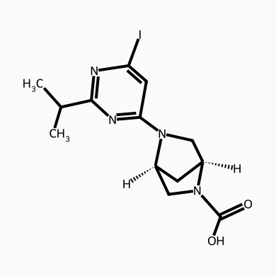 CC(C)c1nc(I)cc(N2C[C@@H]3C[C@H]2CN3C(=O)O)n1